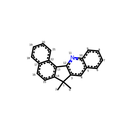 CC1(C)c2cc3ccccc3nc2-c2c1ccc1ccccc21